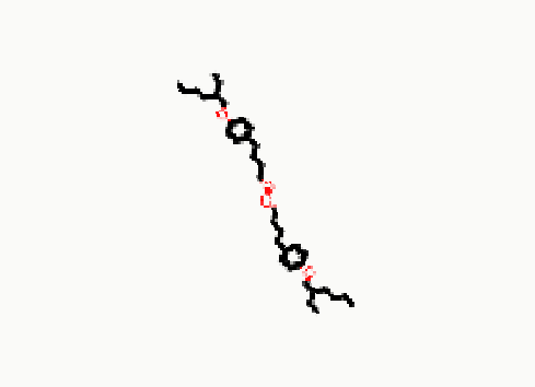 CCCCC(CC)COc1ccc(CCCCOOCCCCc2ccc(OCC(CC)CCCC)cc2)cc1